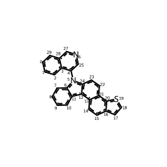 c1ccc2c(-n3c4ccccc4c4c5ccc6ccsc6c5ccc43)cncc2c1